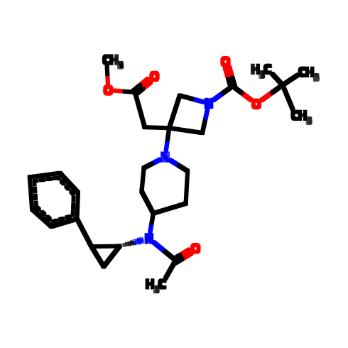 COC(=O)CC1(N2CCC(N(C(C)=O)[C@@H]3CC3c3ccccc3)CC2)CN(C(=O)OC(C)(C)C)C1